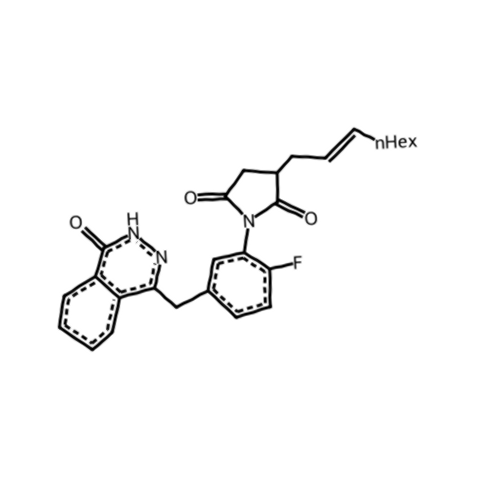 CCCCCCC=CCC1CC(=O)N(c2cc(Cc3n[nH]c(=O)c4ccccc34)ccc2F)C1=O